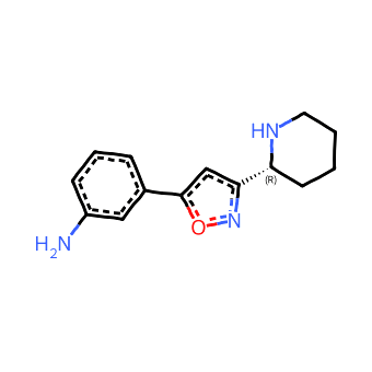 Nc1cccc(-c2cc([C@H]3CCCCN3)no2)c1